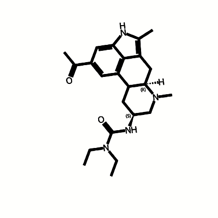 CCN(CC)C(=O)N[C@H]1CC2c3cc(C(C)=O)cc4[nH]c(C)c(c34)C[C@H]2N(C)C1